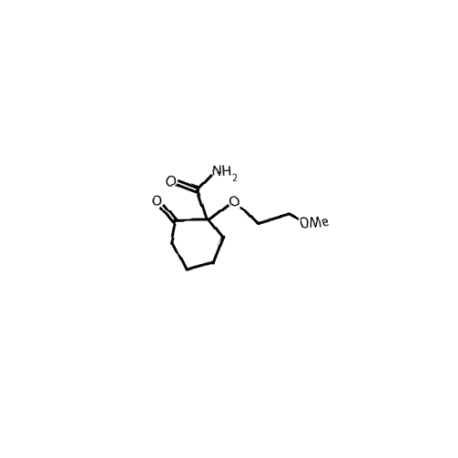 COCCOC1(C(N)=O)CCCCC1=O